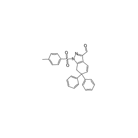 Cc1ccc(S(=O)(=O)n2nc(C=O)c3c2CC(c2ccccc2)(c2ccccc2)C=C3)cc1